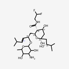 CC(C)/C=C/[C@@H](C[C@@H]1O[C@](O)(C[C@@H](O)C(C)C)C[C@H](O)[C@H]1C(=O)NCC(F)F)OC1OC(C)C(O)C(N)C1O